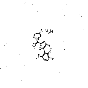 O=C(O)C1CCN(C(=O)c2cc3c(s2)-c2c(F)ccc(F)c2SC3)C1